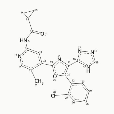 Cc1cnc(NC(=O)C2CC2)cc1-c1nc(-c2nnc[nH]2)c(-c2ccccc2Cl)o1